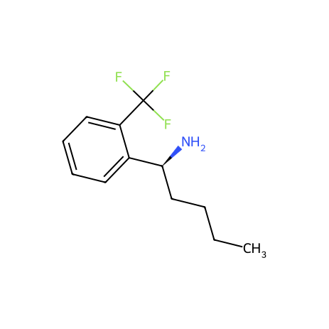 CCCC[C@H](N)c1ccccc1C(F)(F)F